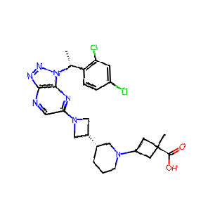 C[C@H](c1ccc(Cl)cc1Cl)n1nnc2ncc(N3CC([C@H]4CCCN(C5CC(C)(C(=O)O)C5)C4)C3)nc21